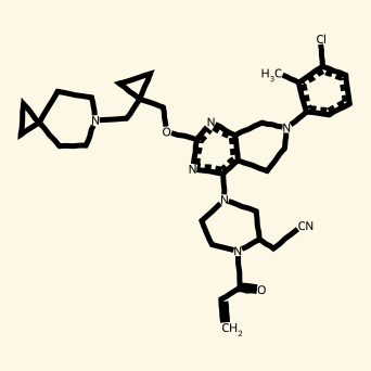 C=CC(=O)N1CCN(c2nc(OCC3(CN4CCC5(CC4)CC5)CC3)nc3c2CCN(c2cccc(Cl)c2C)C3)CC1CC#N